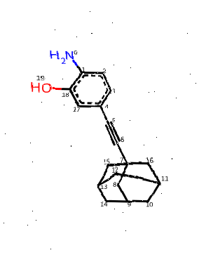 Nc1c[c]c(C#CC23CC4CC(CC(C4)C2)C3)cc1O